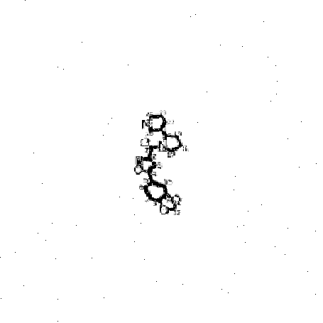 O=C(c1cc(-c2ccc3c(c2)OCO3)on1)N1CCCC1c1cccnc1